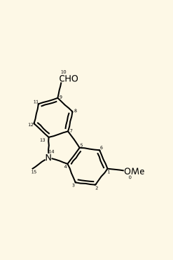 COc1ccc2c(c1)c1cc(C=O)ccc1n2C